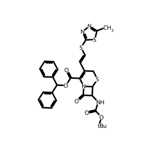 Cc1nnc(S/C=C/C2=C(C(=O)OC(c3ccccc3)c3ccccc3)N3C(=O)C(NC(=O)OC(C)(C)C)C3SC2)s1